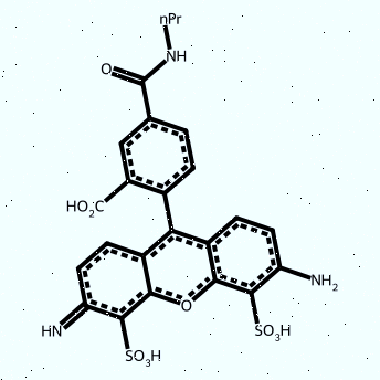 CCCNC(=O)c1ccc(-c2c3ccc(=N)c(S(=O)(=O)O)c-3oc3c(S(=O)(=O)O)c(N)ccc23)c(C(=O)O)c1